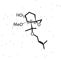 CO[C@@H]1[C@H](O)CC[C@]2(CO2)[C@H]1C(C)(C)OCC=C(C)C